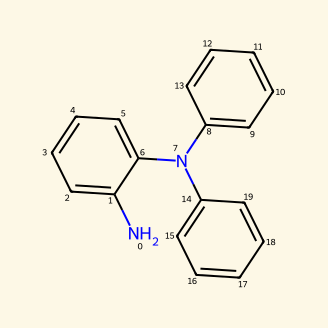 Nc1ccccc1N(c1ccccc1)c1ccccc1